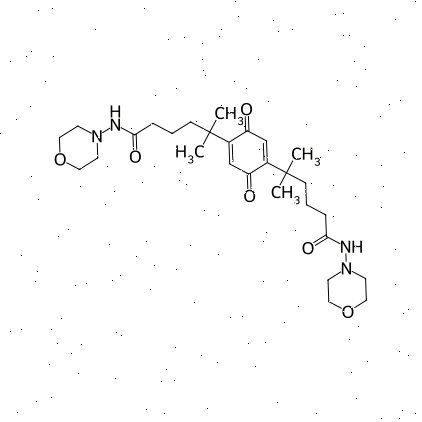 CC(C)(CCCC(=O)NN1CCOCC1)C1=CC(=O)C(C(C)(C)CCCC(=O)NN2CCOCC2)=CC1=O